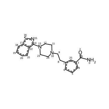 NC(=O)c1cccc(CCN2CCN(c3nsc4ccccc34)CC2)c1